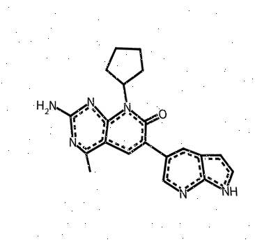 Cc1nc(N)nc2c1cc(-c1cnc3[nH]ccc3c1)c(=O)n2C1CCCC1